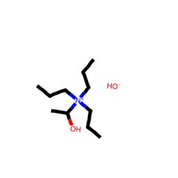 CCC[N+](CCC)(CCC)C(C)O.[OH-]